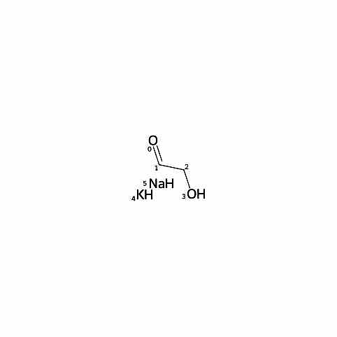 O=CCO.[KH].[NaH]